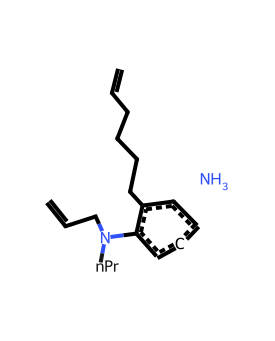 C=CCCCCc1ccccc1N(CC=C)CCC.N